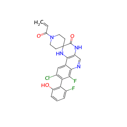 C=CC(=O)N1CCC2(CC1)Nc1c(cnc3c(F)c(-c4c(O)cccc4F)c(Cl)cc13)NC2=O